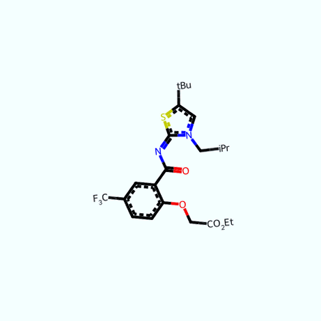 CCOC(=O)COc1ccc(C(F)(F)F)cc1C(=O)N=c1sc(C(C)(C)C)cn1CC(C)C